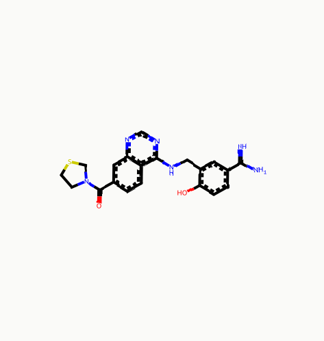 N=C(N)c1ccc(O)c(CNc2ncnc3cc(C(=O)N4CCSC4)ccc23)c1